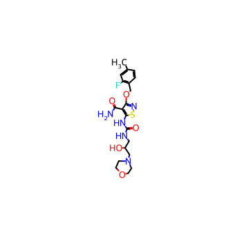 Cc1ccc(COc2nsc(NC(=O)NCC(O)CN3CCOCC3)c2C(N)=O)c(F)c1